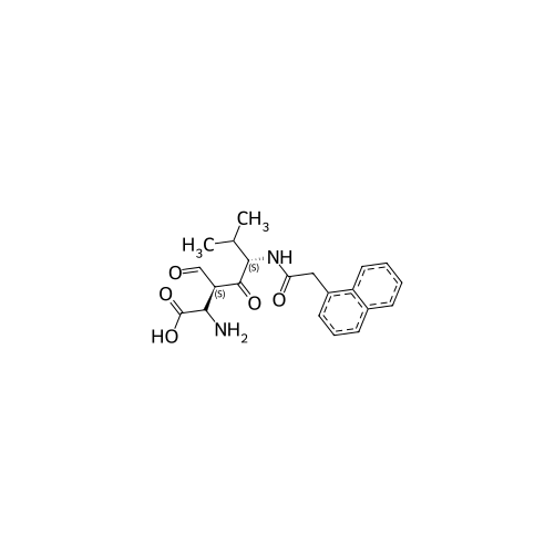 CC(C)[C@H](NC(=O)Cc1cccc2ccccc12)C(=O)[C@H](C=O)C(N)C(=O)O